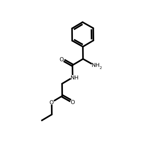 CCOC(=O)CNC(=O)C(N)c1ccccc1